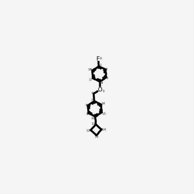 Fc1ccc(OCc2ccc(C3CCC3)cc2)cc1